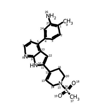 Cc1ccc(-c2ccnc3[nH]c(C4=CCN(S(C)(=O)=O)CC4)cc23)cc1N